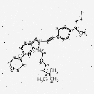 CN(CCF)c1ccc(C#Cc2cc3ccc(N4CCOCC4)nc3n2COCC[Si](C)(C)C)cc1